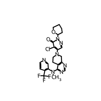 CN(c1cnccc1C(F)(F)F)c1ncnc2c1CCN(c1cnn(C3CCCCO3)c(=O)c1Cl)C2